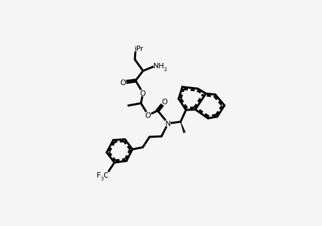 CC(C)CC(N)C(=O)OC(C)OC(=O)N(CCCc1cccc(C(F)(F)F)c1)[C@H](C)c1cccc2ccccc12